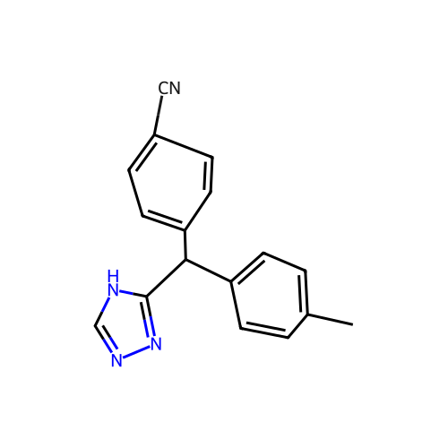 Cc1ccc(C(c2ccc(C#N)cc2)c2nnc[nH]2)cc1